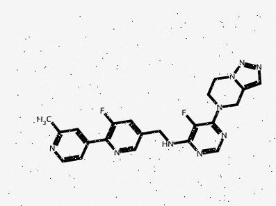 Cc1cc(-c2ncc(CNc3ncnc(N4CCn5nncc5C4)c3F)cc2F)ccn1